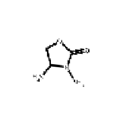 O=C1OCC([SH3])N1[SH3]